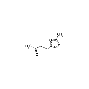 CC(=O)CCc1ccc(C)o1